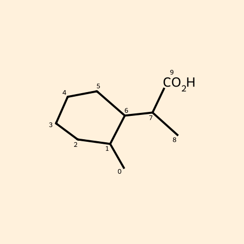 CC1CCCCC1C(C)C(=O)O